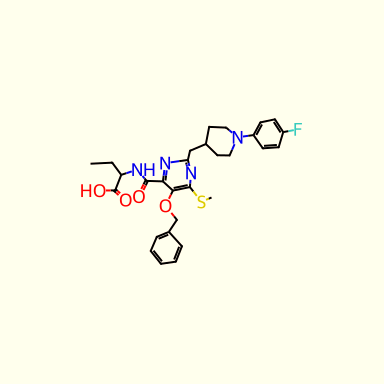 CCC(NC(=O)c1nc(CC2CCN(c3ccc(F)cc3)CC2)nc(SC)c1OCc1ccccc1)C(=O)O